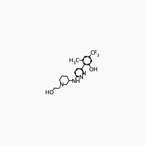 Cc1cc(C(F)(F)F)cc(O)c1-c1ccc(NC2CCCN(CCO)C2)nn1